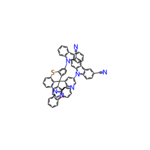 N#Cc1ccc2c(c1)c1cc(C#N)ccc1n2-c1cnc2c(c1)C1(c3ccc(-n4c5ccccc5c5ccccc54)cc3Sc3cccc(-n4c5ccccc5c5ccccc54)c31)c1cccnc1-2